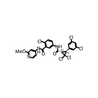 COc1cc(NC(=O)c2cc(NC(=O)[C@@H]3[C@@H](c4cc(Cl)cc(Cl)c4)C3(Cl)Cl)ccc2Cl)ccn1